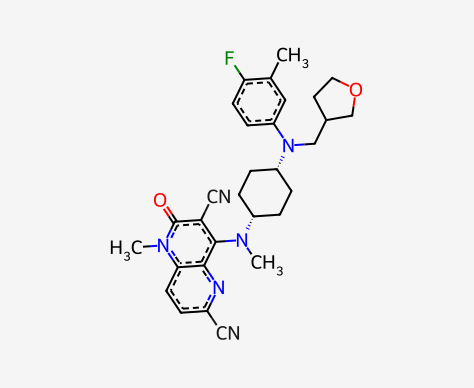 Cc1cc(N(CC2CCOC2)[C@H]2CC[C@@H](N(C)c3c(C#N)c(=O)n(C)c4ccc(C#N)nc34)CC2)ccc1F